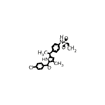 C=CS(=O)(=O)Nc1ccc(C(C)c2cc(C)c(C(=O)c3ccc(Cl)cc3)[nH]2)cc1